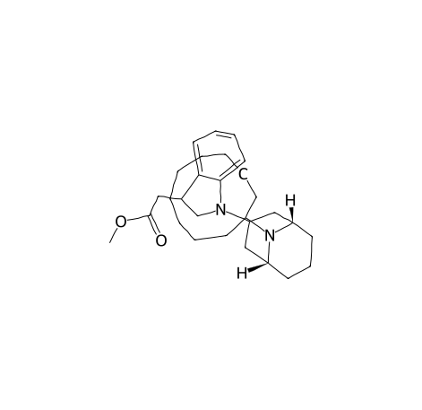 COC(=O)CC1CN(C2C[C@H]3CCC[C@@H](C2)N3C2CCCCCCCCC2)c2ccccc21